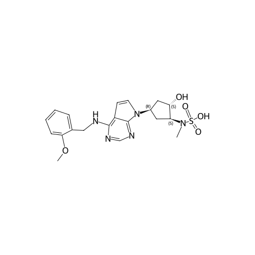 COc1ccccc1CNc1ncnc2c1ccn2[C@H]1C[C@H](O)[C@@H](N(C)S(=O)(=O)O)C1